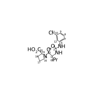 CC(C)[C@H](NC(=O)Nc1cccc(Cl)c1)C(=O)N1CCC[C@H]1C(=O)O